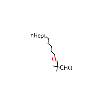 CCCCCCCCCCCCOCC(C)(C)C=O